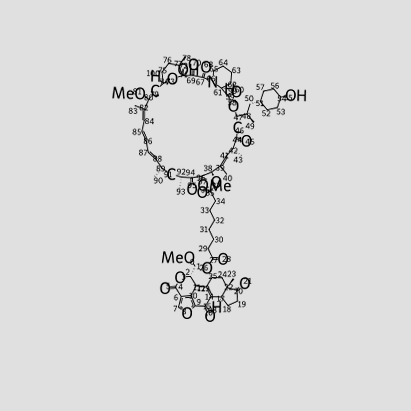 COC[C@H]1OC(=O)c2coc3c2[C@@]1(C)C1=C(C3=O)[C@@H]2CCC(=O)[C@@]2(C)C[C@H]1OC(=O)CCCCCCC(=O)O[C@@H]1/C(C)=C/[C@@H](C)C(=O)C[C@@H]([C@H](C)C[C@H]2CC[C@H](O)CC2)OC(=O)[C@@H]2CCCCN2C(=O)C(=O)[C@]2(O)O[C@@H](CC[C@H]2C)C[C@H](OC)/C(C)=C/C=C/C=C/[C@@H](C)C[C@@H](C)C(=O)[C@@H]1OC